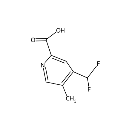 Cc1cnc(C(=O)O)cc1C(F)F